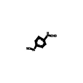 N#CSc1ccc(NC=O)cc1